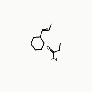 CC=CC1CCCCC1.CCC(=O)O